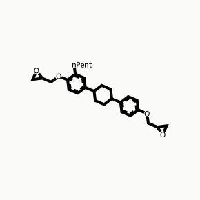 CCCCCc1cc(C2CCC(c3ccc(OCC4CO4)cc3)CC2)ccc1OCC1CO1